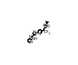 O=S(=O)(CC[C@@H](c1ccc(-n2cc(-c3nc4cccnc4[nH]3)cn2)nc1)C(F)(F)F)C1CC1